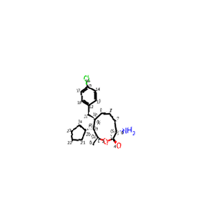 C[C@@H]1OC(=O)[C@@H](N)CCC[C@H](Cc2ccc(Cl)cc2)[C@H]1C1CCCC1